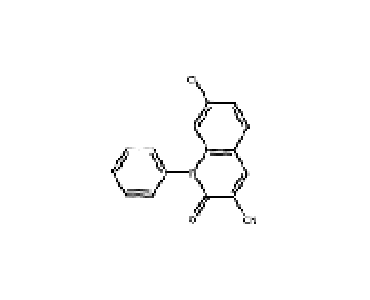 N#Cc1cc2ccc(Cl)cc2n(-c2ccccc2)c1=O